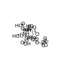 O=C(O)CC[C@@H](NC(=O)CCOCCOCCC(=O)ON1C(=O)CCC1=O)C(=O)N[C@H](CCCO)C(=O)N[C@H](CCC(=O)O)C(=O)N[C@H](CCCCNC(=O)c1cccc(I)c1)C(=O)O